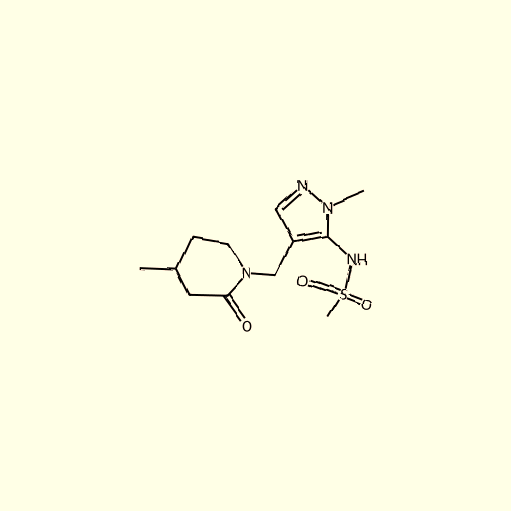 CC1CCN(Cc2cnn(C)c2NS(C)(=O)=O)C(=O)C1